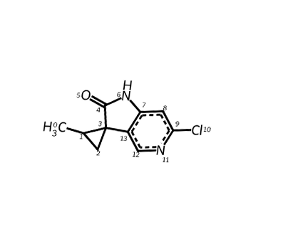 CC1CC12C(=O)Nc1cc(Cl)ncc12